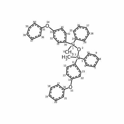 C[Si](O[Si](C)(c1ccccc1)c1ccc(Oc2ccccc2)cc1)(c1ccccc1)c1ccc(Oc2ccccc2)cc1